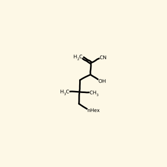 C=C(C#N)C(O)CC(C)(C)CCCCCCC